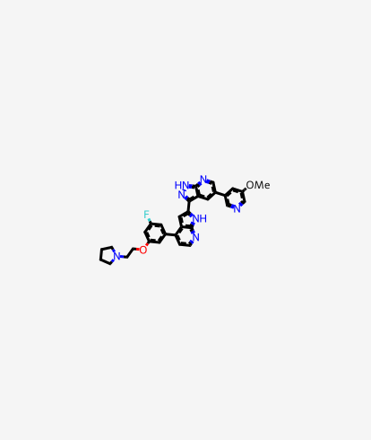 COc1cncc(-c2cnc3[nH]nc(-c4cc5c(-c6cc(F)cc(OCCN7CCCC7)c6)ccnc5[nH]4)c3c2)c1